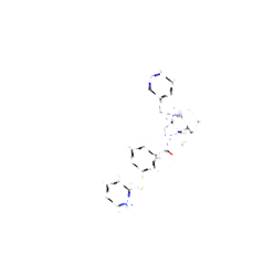 O=C(N[C@@H]1C2CCN(CC2)[C@H]1Cc1cccnc1)c1cccc(Sc2ccccn2)c1